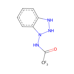 O=C(NN1NNc2ccccc21)C(F)(F)F